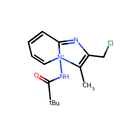 CC1=C(CCl)N=C2C=CC=C[N+]21NC(=O)C(C)(C)C